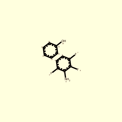 Nc1c(F)ccc(F)c1F.Oc1ccccc1